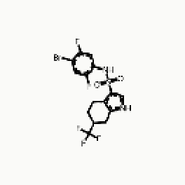 O=S(=O)(Nc1cc(F)c(Br)cc1F)c1c[nH]c2c1CCC(C(F)(F)F)C2